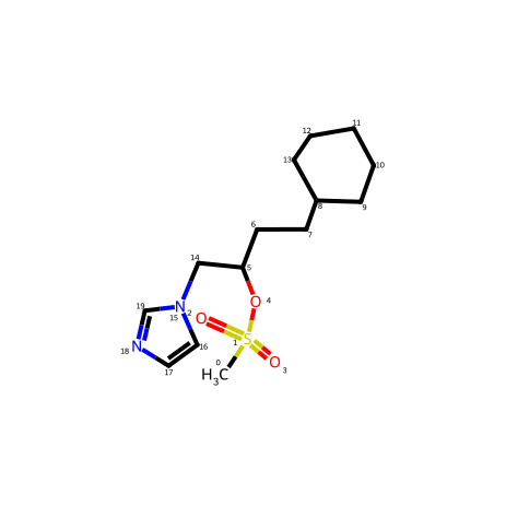 CS(=O)(=O)OC(CCC1CCCCC1)Cn1ccnc1